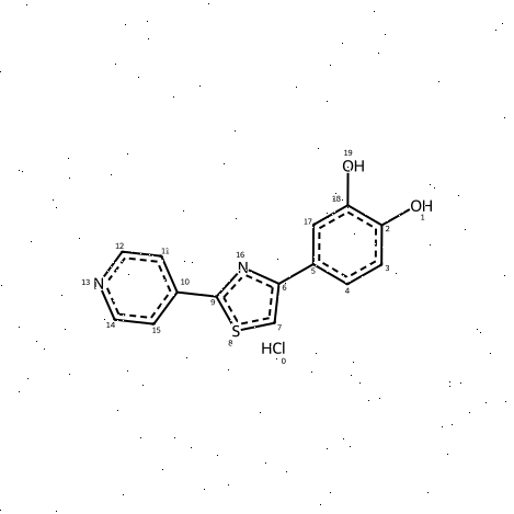 Cl.Oc1ccc(-c2csc(-c3ccncc3)n2)cc1O